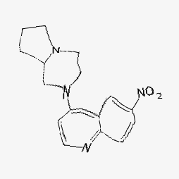 O=[N+]([O-])c1ccc2nccc(N3CCN4CCCC4C3)c2c1